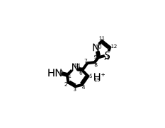 N=c1ccccc(CCc2nccs2)n1.[H+]